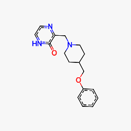 O=c1[nH]ccnc1CN1CCC(COc2ccccc2)CC1